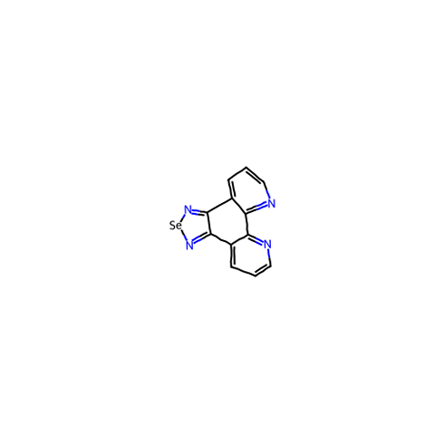 c1cnc2c(c1)c1n[se]nc1c1cccnc12